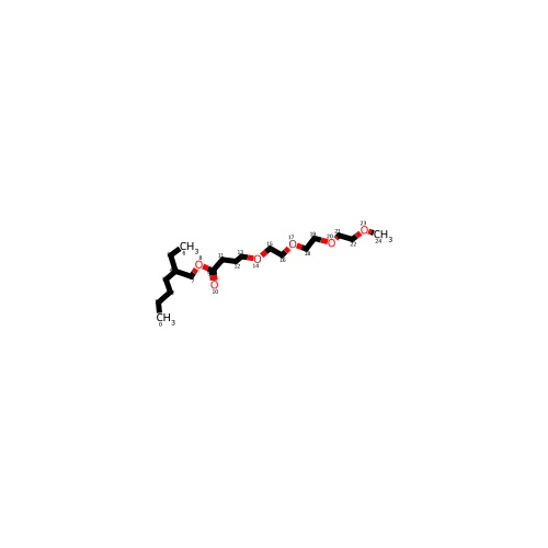 CCCCC(CC)COC(=O)CCCOCCOCCOCCOC